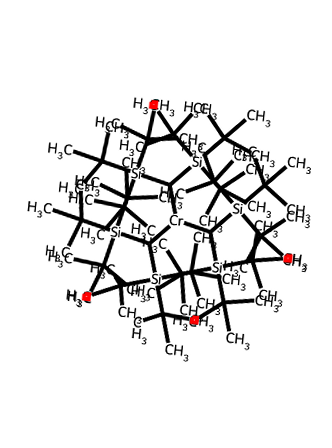 CC(C)(C)[Si]([CH]([Cr]([CH]([Si](C(C)(C)C)(C(C)(C)C)C(C)(C)C)[Si](C(C)(C)C)(C(C)(C)C)C(C)(C)C)[CH]([Si](C(C)(C)C)(C(C)(C)C)C(C)(C)C)[Si](C(C)(C)C)(C(C)(C)C)C(C)(C)C)[Si](C(C)(C)C)(C(C)(C)C)C(C)(C)C)(C(C)(C)C)C(C)(C)C